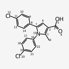 Cc1c(C(=O)O)cc(-c2ccc(Cl)cc2)n1-c1ccc(Cl)cc1